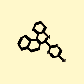 Brc1cnc(-c2nc3ccccc3c3c2ccc2ccccc23)nc1